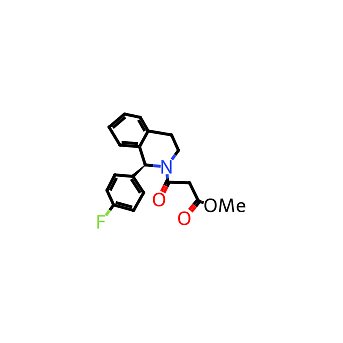 COC(=O)CC(=O)N1CCc2ccccc2[C@@H]1c1ccc(F)cc1